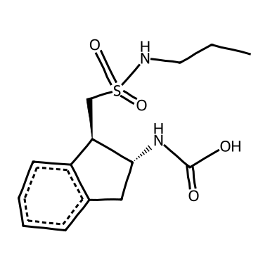 CCCNS(=O)(=O)C[C@@H]1c2ccccc2C[C@H]1NC(=O)O